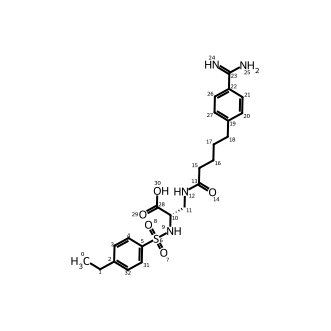 CCc1ccc(S(=O)(=O)N[C@@H](CNC(=O)CCCCc2ccc(C(=N)N)cc2)C(=O)O)cc1